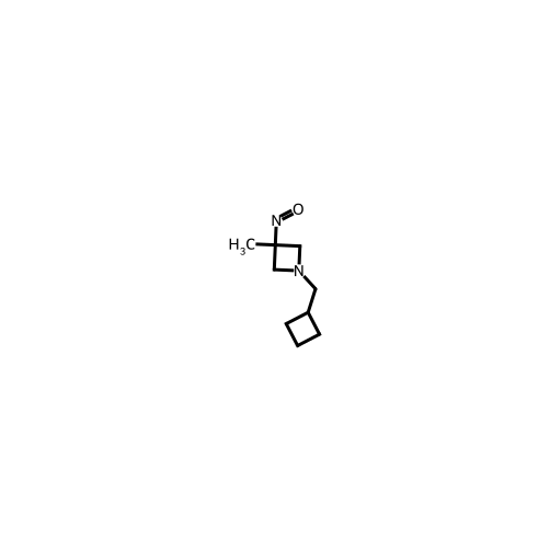 CC1(N=O)CN(CC2CCC2)C1